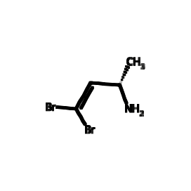 C[C@H](N)C=C(Br)Br